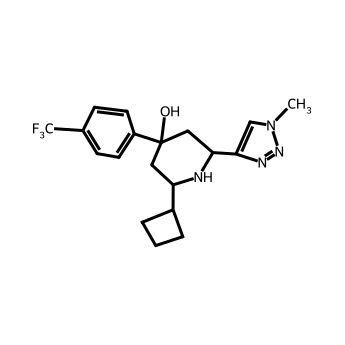 Cn1cc(C2CC(O)(c3ccc(C(F)(F)F)cc3)CC(C3CCC3)N2)nn1